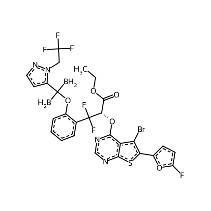 BC(B)(Oc1ccccc1C(F)(F)[C@@H](Oc1ncnc2sc(-c3ccc(F)o3)c(Br)c12)C(=O)OCC)c1ccnn1CC(F)(F)F